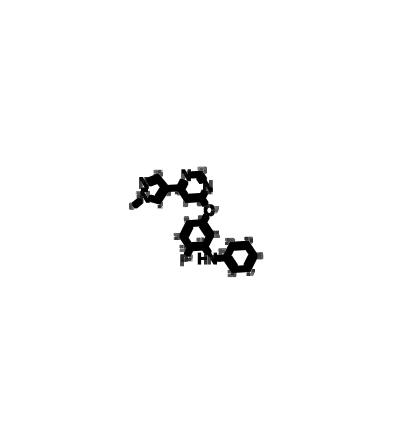 Cn1cc(-c2cc(Oc3ccc(F)c(Nc4ccccc4)c3)ncn2)cn1